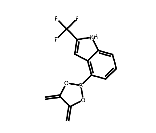 C=C1OB(c2cccc3[nH]c(C(F)(F)F)cc23)OC1=C